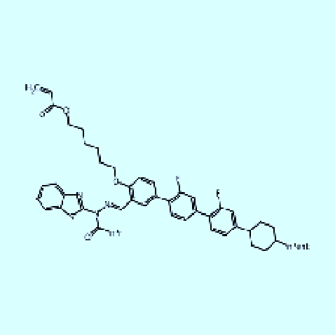 C=CC(=O)OCCCCCCOc1ccc(-c2ccc(-c3ccc(C4CCC(CCCCC)CC4)cc3F)cc2F)cc1/C=N/N(C(=O)CCC)c1nc2ccccc2s1